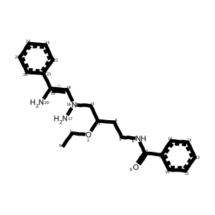 CCOC(CCNC(=O)c1ccccc1)CN(N)/C=C(\N)c1ccccc1